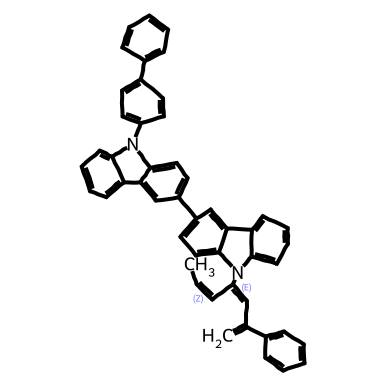 C=C(/C=C(\C=C/C)n1c2ccccc2c2cc(-c3ccc4c(c3)c3ccccc3n4-c3ccc(-c4ccccc4)cc3)ccc21)c1ccccc1